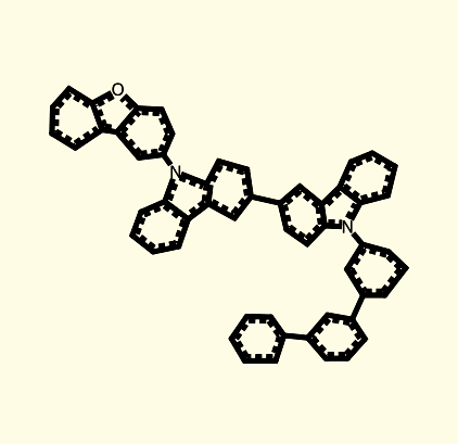 c1ccc(-c2cccc(-c3cccc(-n4c5ccccc5c5cc(-c6ccc7c(c6)c6ccccc6n7-c6ccc7oc8ccccc8c7c6)ccc54)c3)c2)cc1